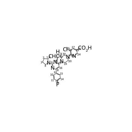 CC1CCCN1c1nc(-c2ccc(F)cc2)cc(N2CCN(c3ncc(C(=O)O)cc3Cl)C[C@H]2C)n1